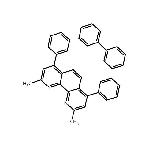 Cc1cc(-c2ccccc2)c2ccc3c(-c4ccccc4)cc(C)nc3c2n1.c1ccc(-c2ccccc2)cc1